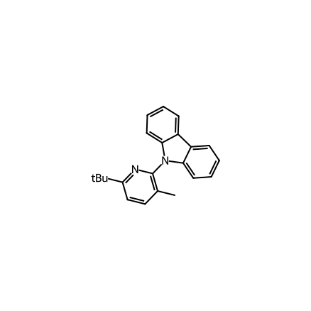 Cc1ccc(C(C)(C)C)nc1-n1c2ccccc2c2ccccc21